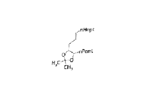 [CH2]CCCCCCC=CCC1OC(C)(C)OC1CCCCC